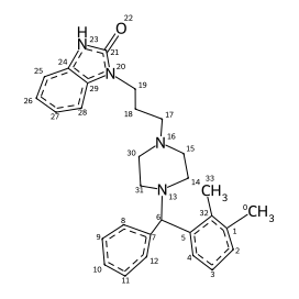 Cc1cccc(C(c2ccccc2)N2CCN(CCCn3c(=O)[nH]c4ccccc43)CC2)c1C